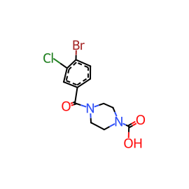 O=C(O)N1CCN(C(=O)c2ccc(Br)c(Cl)c2)CC1